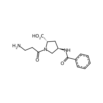 NCCC(=O)N1C[C@H](NC(=O)c2ccccc2)C[C@H]1C(=O)O